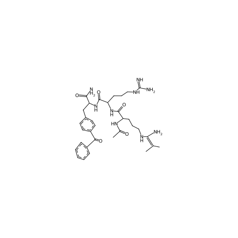 CC(=O)NC(CCCNC(N)=C(C)C)C(=O)NC(CCCNC(=N)N)C(=O)NC(Cc1ccc(C(=O)c2ccccc2)cc1)C(N)=O